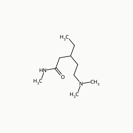 CCC(CCN(C)C)CC(=O)NC